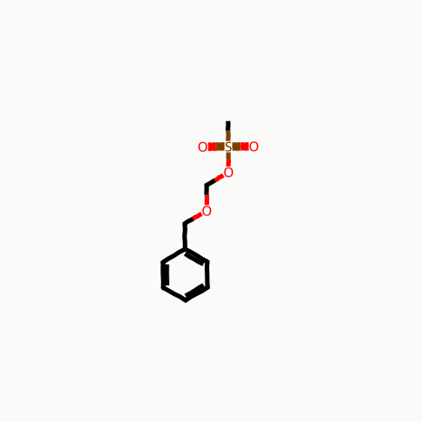 CS(=O)(=O)OCOCc1ccccc1